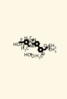 COc1ccc(-c2ccc3nc(C)nc(N[C@H](C)c4cccc(C(F)(F)CO)c4F)c3c2)cc1CC(=O)N(C)C.O=CO